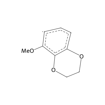 COc1[c]ccc2c1OCCO2